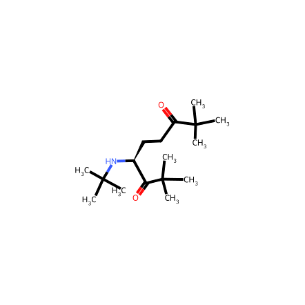 CC(C)(C)N[C@@H](CCC(=O)C(C)(C)C)C(=O)C(C)(C)C